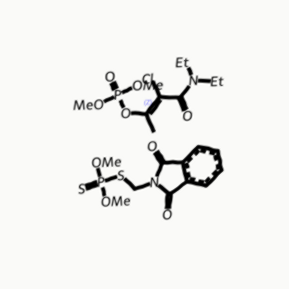 CCN(CC)C(=O)/C(Cl)=C(\C)OP(=O)(OC)OC.COP(=S)(OC)SCN1C(=O)c2ccccc2C1=O